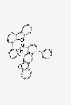 c1ccc(-c2ccc(Nc3c(-c4cccc5c4oc4ccccc45)cccc3-c3cccc4c3oc3ccccc34)cc2)cc1